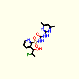 Cc1cc(C)nc(NC(=O)NS(=O)(=O)c2ncccc2C(O)C(C)F)n1